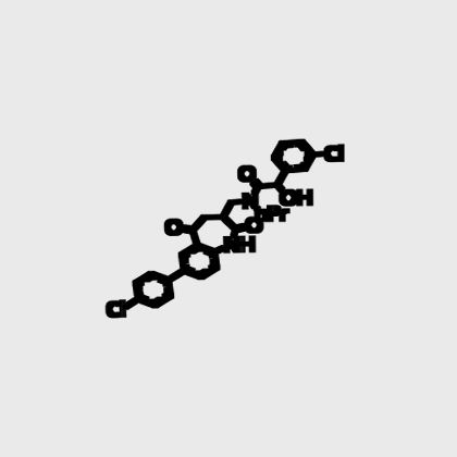 CCCN(CC1CC(=O)c2cc(-c3ccc(Cl)cc3)ccc2NC1=O)C(=O)C(O)c1cccc(Cl)c1